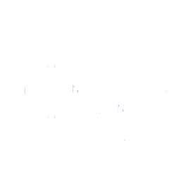 Cc1cc(=O)n(C)c(=O)n1S(=O)(=O)O